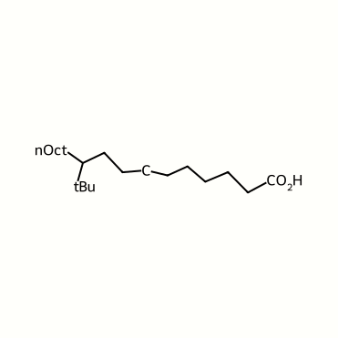 CCCCCCCCC(CCCCCCCCC(=O)O)C(C)(C)C